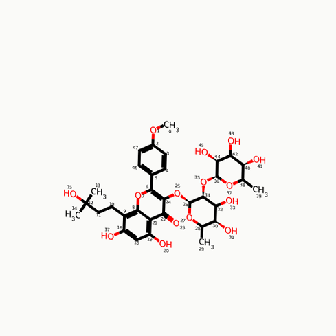 COc1ccc(-c2oc3c(CCC(C)(C)O)c(O)cc(O)c3c(=O)c2O[C@@H]2OC(C)[C@H](O)C(O)[C@@H]2O[C@@H]2OC(C)[C@H](O)C(O)[C@@H]2O)cc1